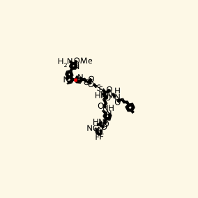 COc1ncc(-c2ccc3nccc(-c4ccc(COC(=O)OCCSSCC(NC(=O)CCC(=O)NCc5cc(C(=O)NC(C)C(=O)N6CC(F)(F)C[C@H]6C#N)ccn5)C(=O)NCCNC(=O)CCCc5ccc(C)cc5)nc4)c3c2)cc1N